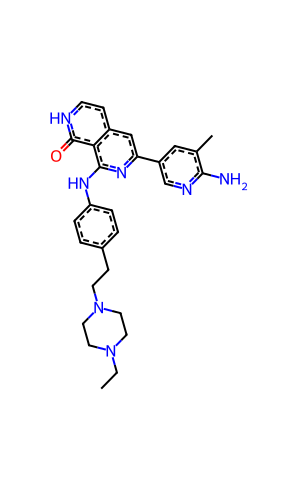 CCN1CCN(CCc2ccc(Nc3nc(-c4cnc(N)c(C)c4)cc4cc[nH]c(=O)c34)cc2)CC1